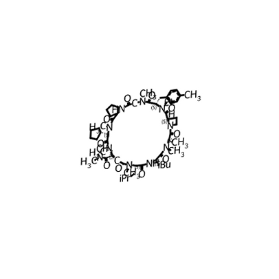 CC[C@H](C)[C@@H]1NC(=O)[C@H](CC(C)C)N(C)C(=O)C[C@@H](C(=O)N(C)C)N(C)C(=O)[C@H](C2CCCC2)N(C)C(=O)C2(CCCC2)NC(=O)CN(C)C(=O)[C@H](Cc2ccc(C)cc2)N(CC)C(=O)[C@@H]2CCN2C(=O)[C@H](C)N(C)C1=O